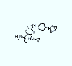 NC(=O)c1cnc(Nc2ccc(-n3cncn3)cc2)nc1NC1CC1